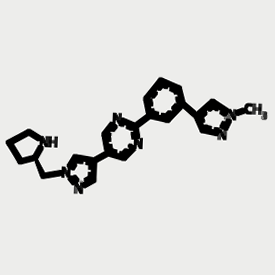 Cn1cc(-c2cccc(-c3ncc(-c4cnn(C[C@H]5CCCN5)c4)cn3)c2)cn1